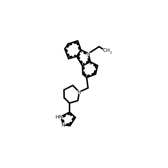 CCn1c2ccccc2c2cc(CN3CCCC(c4ccn[nH]4)C3)ccc21